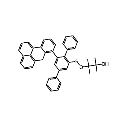 CC(C)(O)C(C)(C)OSc1cc(-c2ccccc2)cc(-c2cccc3c2Cc2cccc4cccc-3c24)c1-c1ccccc1